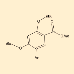 CCCCOc1cc(OCCCC)c(C(=O)OC)cc1C(C)=O